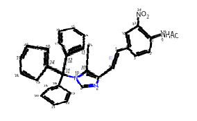 CC(=O)Nc1ccc(/C=C/c2ncn(C(c3ccccc3)(c3ccccc3)c3ccccc3)c2C)cc1[N+](=O)[O-]